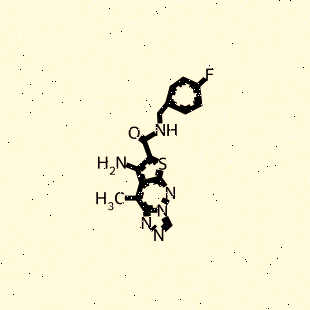 Cc1c2c(N)c(C(=O)NCc3ccc(F)cc3)sc2nn2cnnc12